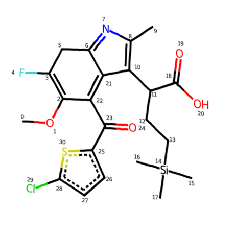 COC1=C(F)CC2=NC(C)=C(C(CC[Si](C)(C)C)C(=O)O)C2=C1C(=O)c1ccc(Cl)s1